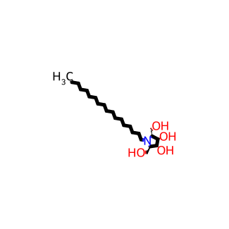 CCCCCCCCCCCCCCCCCCN1[C@H](CO)[C@@H](O)[C@H](O)[C@H]1CO